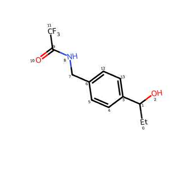 CCC(O)c1ccc(CNC(=O)C(F)(F)F)cc1